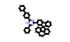 c1ccc(C2=NC(c3ccc4c(c3)C3(c5ccccc5-4)c4cccc5ccc6cccc3c6c45)=NC(c3ccc(-c4ccccc4)cc3)N2)cc1